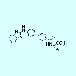 CC(C)[C@H](NC(=O)c1ccc(-c2ccc(Nc3nc4ccccc4s3)cc2)cc1)C(=O)O